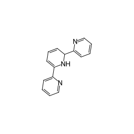 C1=CC(c2ccccn2)NC(c2ccccn2)=C1